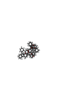 c1ccc(-c2ccccc2-n2c3ccccc3c3ccc(-n4c5ccccc5c5c([Si](c6ccccc6)(c6ccccc6)c6ccccc6)c(-n6c7ccccc7c7ccccc76)ccc54)cc32)cc1